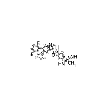 CN(N=N)C(=N)c1ccc(NC(=O)c2cnn3ccc(N4CCC[C@@H]4c4cc(F)ccc4F)cc23)cn1